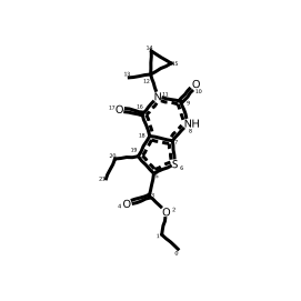 CCOC(=O)c1sc2[nH]c(=O)n(C3(C)CC3)c(=O)c2c1CC